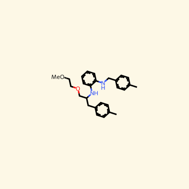 COCCOCC(Cc1ccc(C)cc1)Nc1ccccc1NCc1ccc(C)cc1